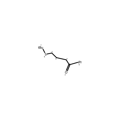 CC(C)C(=O)CCCSC(C)(C)C